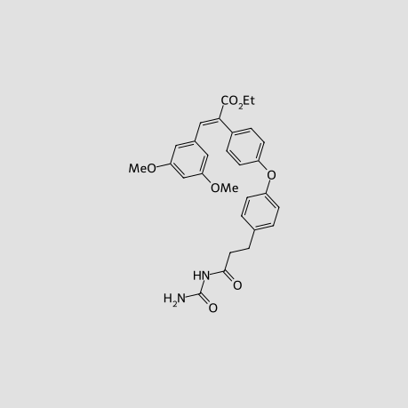 CCOC(=O)C(=Cc1cc(OC)cc(OC)c1)c1ccc(Oc2ccc(CCC(=O)NC(N)=O)cc2)cc1